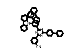 N#Cc1cccc(-c2nc(-c3ccc(-c4ccccc4)cc3)nc(-c3ccc(-c4ccccc4)c(-n4c5ccccc5c5cccc(-n6c7ccccc7c7ccccc76)c54)c3)n2)c1